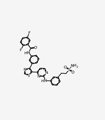 NS(=O)(=O)CCc1cccc(Nc2nccc(-c3scnc3-c3cccc(NC(=O)c4cc(F)ccc4F)c3)n2)c1